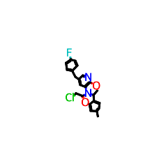 Cc1ccc(C2COc3ncc(Cc4ccc(F)cc4)cc3N2C(=O)CCl)cc1